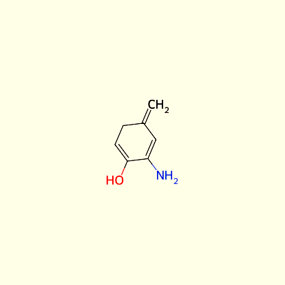 C=C1C=C(N)C(O)=CC1